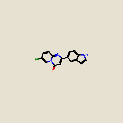 O=c1cc(-c2ccc3[nH]ccc3c2)nc2ccc(F)cn12